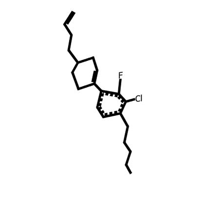 C=CCCC1CC=C(c2ccc(CCCCC)c(Cl)c2F)CC1